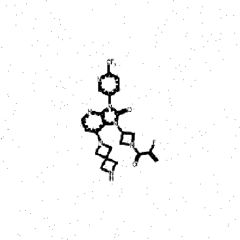 C=C(F)C(=O)N1CC(n2c(=O)n(-c3ccc(C(F)(F)F)nc3)c3nccc(N4CC5(CNC5)C4)c32)C1